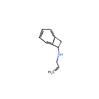 C=CCNC1Cc2ccccc21